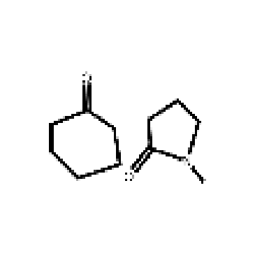 CN1CCCC1=O.O=C1CCCCC1